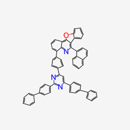 c1ccc(-c2ccc(-c3cc(-c4ccc(-c5cccc6c5nc(-c5cccc7ccccc57)c5c7ccccc7oc65)cc4)nc(-c4ccc(-c5ccccc5)cc4)n3)cc2)cc1